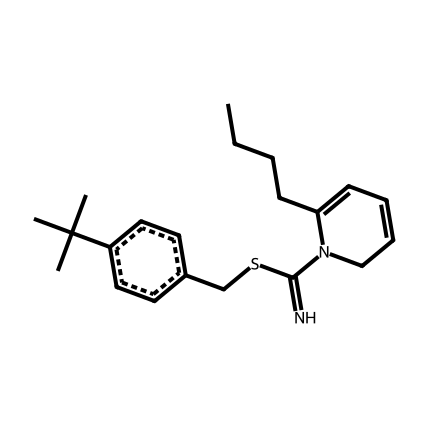 CCCCC1=CC=CCN1C(=N)SCc1ccc(C(C)(C)C)cc1